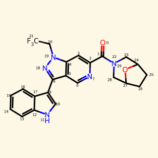 O=C(c1cc2c(cn1)c(-c1c[nH]c3ccccc13)nn2CC(F)(F)F)N1CC2CCC(C1)O2